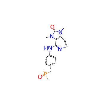 Cn1c(=O)n(C)c2c(Nc3ccc(CP(C)(C)=O)cc3)nccc21